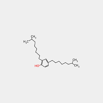 CC(C)CCCCCCc1ccc(O)c(CCCCCCC(C)C)c1